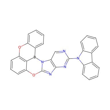 c1ccc2c(c1)Oc1cccc3c1B2n1c(nc2nc(-n4c5ccccc5c5ccccc54)ncc21)O3